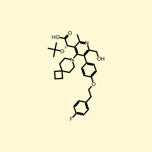 Cc1nc(CO)c(-c2ccc(OCCc3ccc(F)cc3)cc2)c(N2CCC3(CCC3)CC2)c1[C@H](OC(C)(C)C)C(=O)O